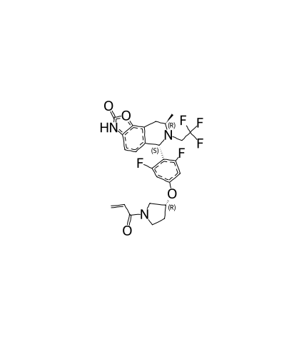 C=CC(=O)N1CC[C@@H](Oc2cc(F)c([C@@H]3c4ccc5[nH]c(=O)oc5c4C[C@@H](C)N3CC(F)(F)F)c(F)c2)C1